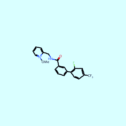 CO[n+]1ccccc1CNC(=O)c1cccc(-c2ccc(C(F)(F)F)cc2F)c1